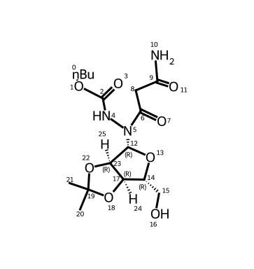 CCCCOC(=O)NN(C(=O)CC(N)=O)[C@@H]1O[C@H](CO)[C@H]2OC(C)(C)O[C@H]21